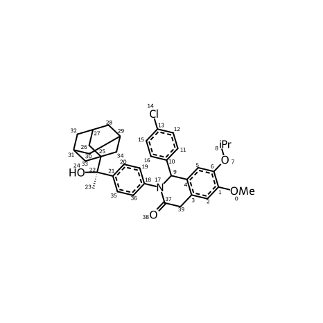 COc1cc2c(cc1OC(C)C)C(c1ccc(Cl)cc1)N(c1ccc([C@@](C)(O)C34CC5CC(CC(C5)C3)C4)cc1)C(=O)C2